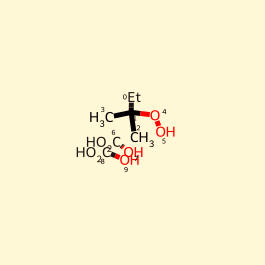 CCC(C)(C)OO.O=C(O)O.O=C(O)O